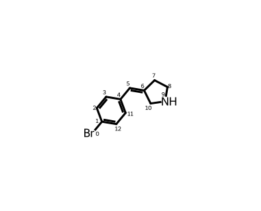 Brc1ccc(/C=C2/CCNC2)cc1